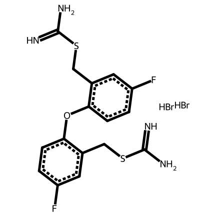 Br.Br.N=C(N)SCc1cc(F)ccc1Oc1ccc(F)cc1CSC(=N)N